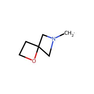 [CH2]N1CC2(CCO2)C1